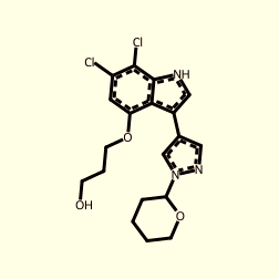 OCCCOc1cc(Cl)c(Cl)c2[nH]cc(-c3cnn(C4CCCCO4)c3)c12